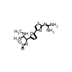 CNC(N)C(N=S(=O)=O)c1ccc(-c2csc(N=C(N)N)n2)o1